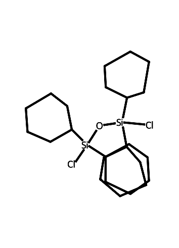 Cl[Si](O[Si](Cl)(C1CCCCC1)C1CCCCC1)(C1CCCCC1)C1CCCCC1